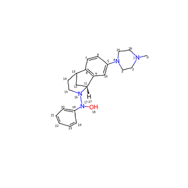 CN1CCN(c2ccc3c(c2)[C@H]2CC3CCN2N(O)c2ccccc2)CC1